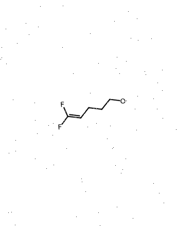 [O]CCCC=C(F)F